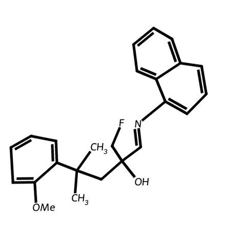 COc1ccccc1C(C)(C)CC(O)(C=Nc1cccc2ccccc12)CF